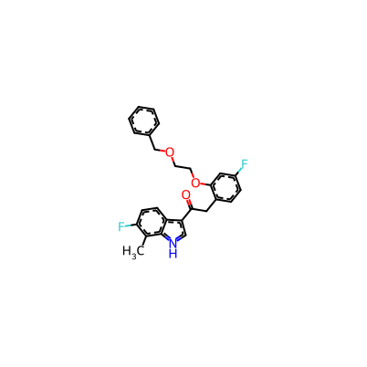 Cc1c(F)ccc2c(C(=O)Cc3ccc(F)cc3OCCOCc3ccccc3)c[nH]c12